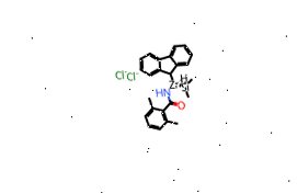 Cc1cccc(C)c1C(=O)[NH][Zr+2]([CH]1c2ccccc2-c2ccccc21)[SiH](C)C.[Cl-].[Cl-]